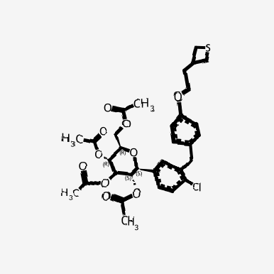 CC(=O)OC[C@H]1O[C@@H](c2ccc(Cl)c(Cc3ccc(OCCC4CSC4)cc3)c2)[C@H](OC(C)=O)C(OC(C)=O)[C@@H]1OC(C)=O